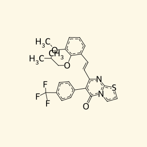 COc1cccc(C=Cc2nc3sccn3c(=O)c2-c2ccc(C(F)(F)F)cc2)c1OCC(C)C